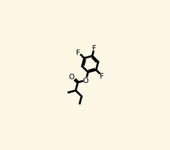 CCC(C)C(=O)Oc1cc(F)c(F)cc1F